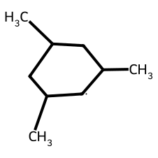 CC1[CH]C(C)CC(C)C1